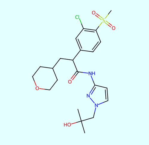 CC(C)(O)Cn1ccc(NC(=O)C(CC2CCOCC2)c2ccc(S(C)(=O)=O)c(Cl)c2)n1